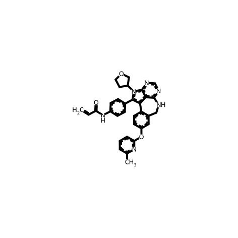 C=CC(=O)Nc1ccc(-c2c3c4c(ncnc4n2C2CCOC2)NCc2cc(Oc4cccc(C)n4)ccc2-3)cc1